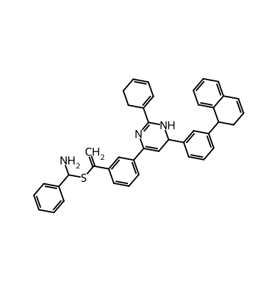 C=C(SC(N)c1ccccc1)c1cccc(C2=CC(c3cccc(C4CC=Cc5ccccc54)c3)NC(C3=CC=CCC3)=N2)c1